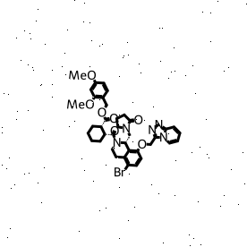 COc1ccc(COC(=O)[C@H]2CCCC[C@H]2C(=O)N2CCc3c(Br)ccc(OCc4nnc5ccccn45)c3[C@H]2CN2CCCC2=O)c(OC)c1